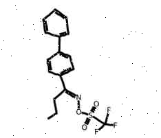 CCCC(=NOS(=O)(=O)C(F)(F)F)c1ccc(-c2ccccc2)cc1